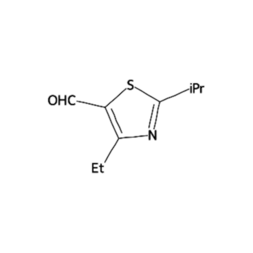 CCc1nc(C(C)C)sc1C=O